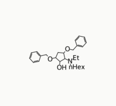 CCCCCCN(CC)C1C(OCc2ccccc2)CC(OCc2ccccc2)C1O